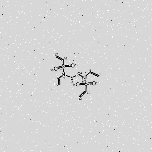 C=CN(SSN(C=C)S(=O)(=O)C=C)S(=O)(=O)C=C